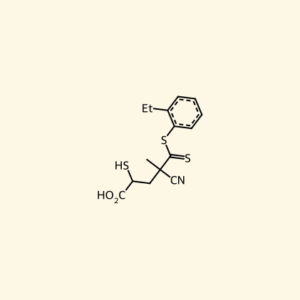 CCc1ccccc1SC(=S)C(C)(C#N)CC(S)C(=O)O